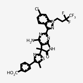 Cc1sc(C2(C)C(=O)Nc3nc(-c4nn(CCC(F)(F)C(F)(F)F)c5cc(Cl)ccc45)nc(N)c32)nc1-c1ccc(C(=O)O)cc1